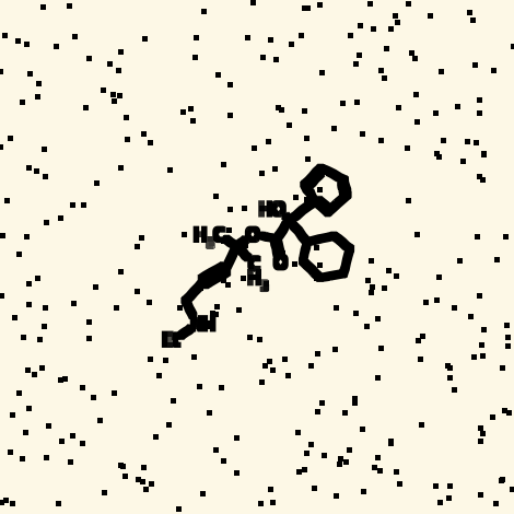 CCNCC#CC(C)(C)OC(=O)C(O)(c1ccccc1)C1CCCCC1